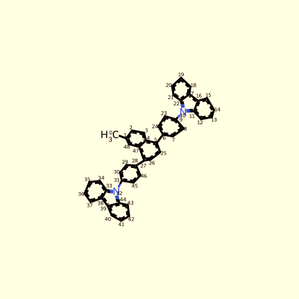 Cc1ccc2c(-c3ccc(-n4c5ccccc5c5ccccc54)cc3)ccc(-c3ccc(-n4c5ccccc5c5ccccc54)cc3)c2c1